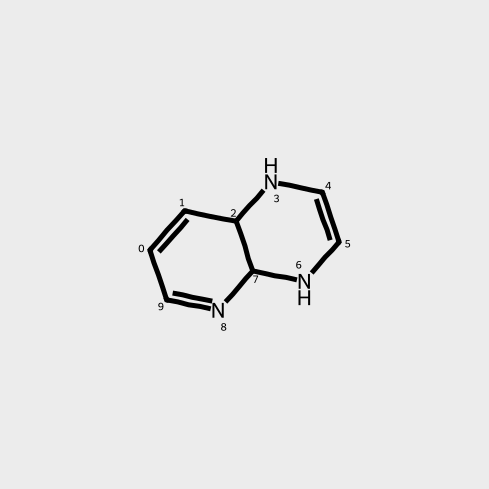 [C]1=CC2NC=CNC2N=C1